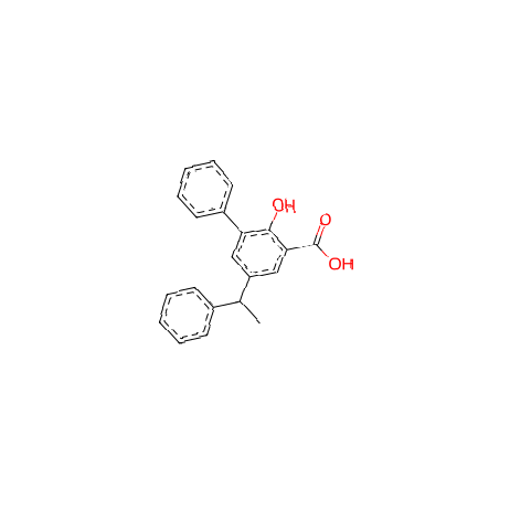 CC(c1ccccc1)c1cc(C(=O)O)c(O)c(-c2ccccc2)c1